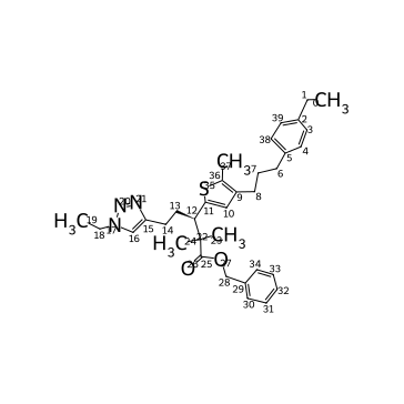 CCc1ccc(CCCc2cc([C@H](CCc3cn(CC)nn3)C(C)(C)C(=O)OCc3ccccc3)sc2C)cc1